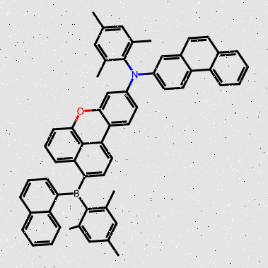 Cc1cc(C)c(B(c2cccc3ccccc23)c2ccc3c4c(cccc24)Oc2cc(N(c4ccc5c(ccc6ccccc65)c4)c4c(C)cc(C)cc4C)ccc2-3)c(C)c1